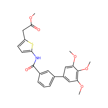 COC(=O)Cc1ccc(NC(=O)c2cccc(-c3cc(OC)c(OC)c(OC)c3)c2)s1